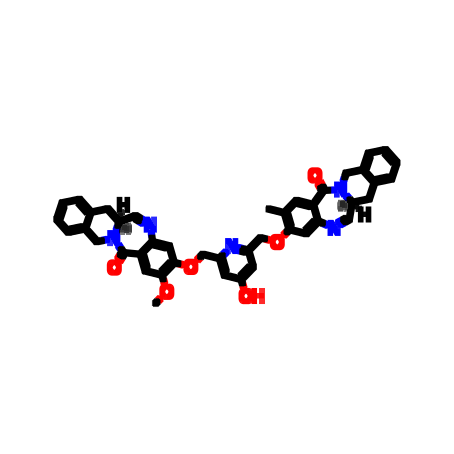 COc1cc2c(cc1OCc1cc(O)cc(COc3cc4c(cc3C)C(=O)N3Cc5ccccc5C[C@H]3C=N4)n1)N=C[C@@H]1Cc3ccccc3CN1C2=O